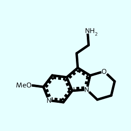 COc1cc2c(CCN)c3n(c2cn1)CCCO3